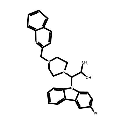 CC(O)C(N1CCN(Cc2ccc3ccccc3n2)CC1)n1c2ccccc2c2cc(Br)ccc21